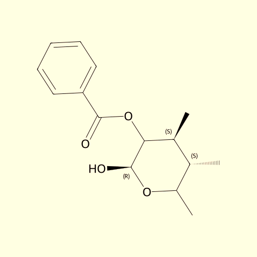 CC1O[C@@H](O)C(OC(=O)c2ccccc2)[C@@H](C)[C@@H]1C